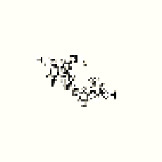 COc1ccc(F)c(-c2ncc(COc3cccc(C(CC(=O)O)C4CC4)c3)nc2-c2ccc(C)s2)c1